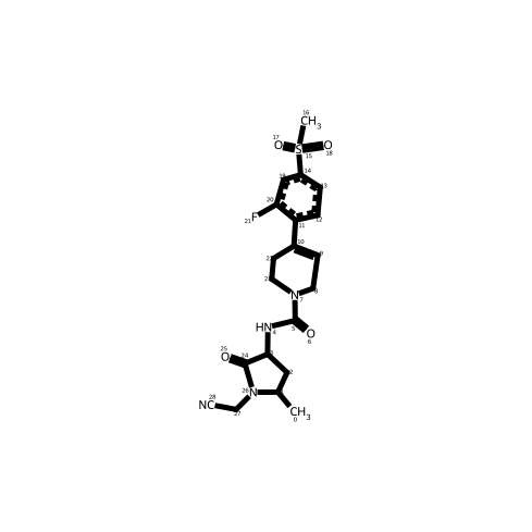 CC1CC(NC(=O)N2CC=C(c3ccc(S(C)(=O)=O)cc3F)CC2)C(=O)N1CC#N